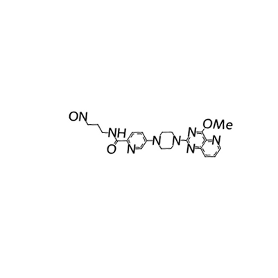 COc1nc(N2CCN(c3ccc(C(=O)NCCCN=O)nc3)CC2)nc2cccnc12